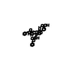 O=C(NCCC[C@H](NC(=O)C1CCCN(C(=O)O)C1)C(=O)N(CCO)CCNC(=O)OCc1ccccc1)OCc1ccccc1